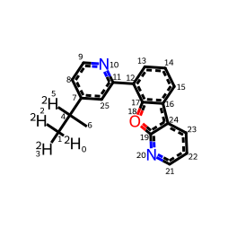 [2H]C([2H])([2H])C([2H])(C)c1ccnc(-c2cccc3c2oc2ncccc23)c1